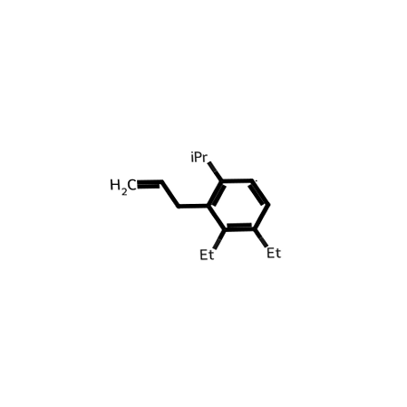 C=CCc1c(C(C)C)[c]cc(CC)c1CC